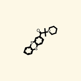 CC(C)(C(=O)c1ccc2c(c1)Sc1ccccc1S2)N1CCCCC1